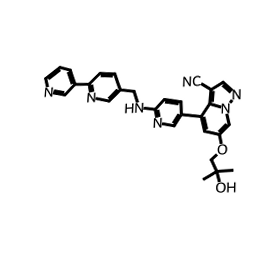 CC(C)(O)COc1cc(-c2ccc(NCc3ccc(-c4cccnc4)nc3)nc2)c2c(C#N)cnn2c1